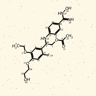 CCOc1cc([C@H](COC(C)=O)Nc2ccc(C(=N)NO)cc2)c(F)cc1OCCO